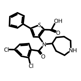 O=C(O)c1sc(-c2ccccc2)cc1N(C(=O)c1ccc(Cl)cc1Cl)C1CCCNCC1